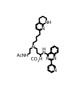 CC(=O)NCCN(CCCCc1ccc2c(n1)NCCC2)CCC(Nc1nc(-c2cccnc2)nc2ccccc12)C(=O)O